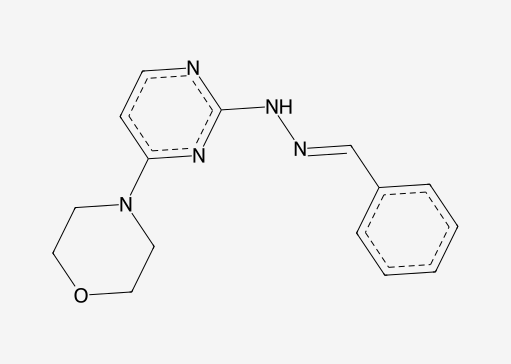 C(=N\Nc1nccc(N2CCOCC2)n1)/c1ccccc1